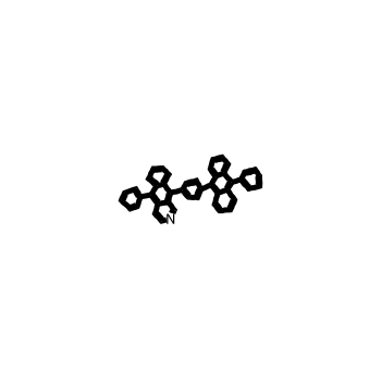 c1ccc(-c2c3ccccc3c(-c3ccc(-c4c5ccccc5c(-c5ccccc5)c5ccncc45)cc3)c3ccccc23)cc1